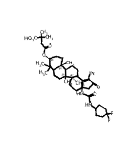 CC(C)C1=C2C3CCC4[C@@]5(C)CC[C@H](OC(=O)CC(C)(C)C(=O)O)C(C)(C)C5CC[C@@]4(C)[C@]3(C)CC[C@@]2(NC(=O)NC2CCC(F)(F)CC2)CC1=O